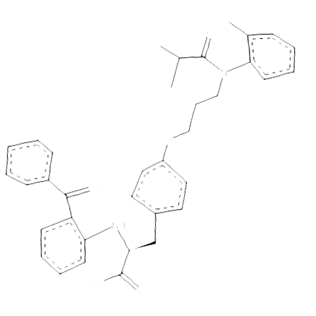 Cc1ccccc1N(CCCOc1ccc(C[C@H](Nc2ccccc2C(=O)c2ccccc2)C(=O)O)cc1)C(=O)C(C)C